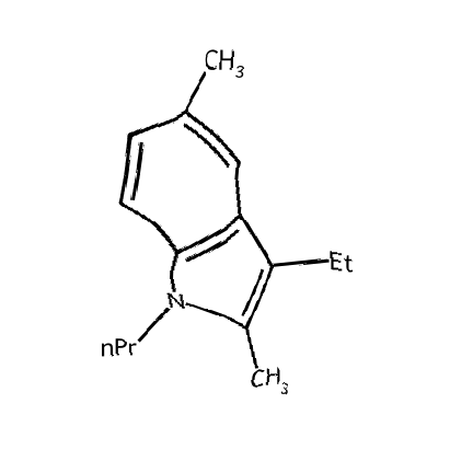 CCCn1c(C)c(CC)c2cc(C)ccc21